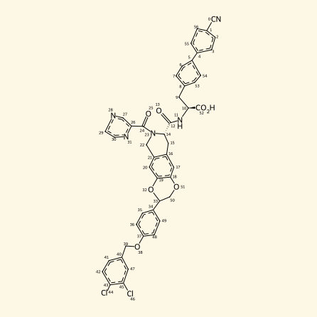 N#Cc1ccc(-c2ccc(C[C@H](NC(=O)[C@@H]3Cc4cc5c(cc4CN3C(=O)c3cnccn3)OC(c3ccc(OCc4ccc(Cl)c(Cl)c4)cc3)CO5)C(=O)O)cc2)cc1